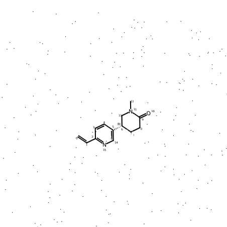 C=Cc1ccc([C@H]2CCC(=O)N(C)C2)cn1